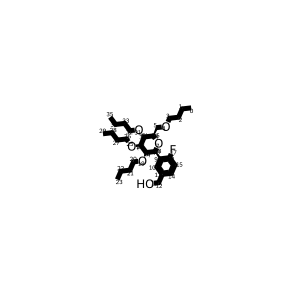 CCCCOC[C@H]1O[C@@H](c2cc(CO)ccc2F)[C@H](OCCCC)[C@@H](OCCCC)[C@@H]1OCCCC